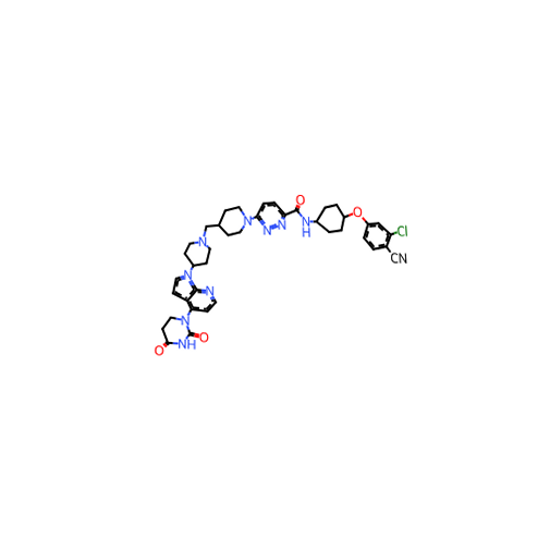 N#Cc1ccc(OC2CCC(NC(=O)c3ccc(N4CCC(CN5CCC(n6ccc7c(N8CCC(=O)NC8=O)ccnc76)CC5)CC4)nn3)CC2)cc1Cl